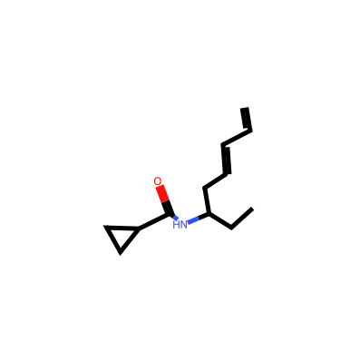 C=CC=CCC(CC)NC(=O)C1CC1